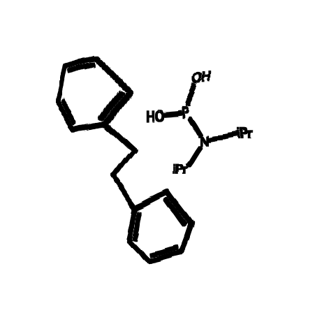 CC(C)N(C(C)C)P(O)O.c1ccc(CCc2ccccc2)cc1